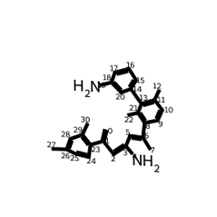 C=C(/C=C(N)\C=C(/C)c1ccc(C)c(-c2cccc(N)c2)c1C)c1ccc(C)cc1C